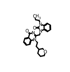 CCCn1c(=O)n(Cc2nc(=O)c3ccccc3n2CCC2CCCOC2)c2ccccc21